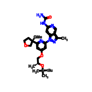 CO[C@]1(c2cc(OC[C@@H](C)O[Si](C)(C)C(C)(C)C)cc(-n3nc(C)c4cnc(NC(N)=O)cc43)n2)CCOC1